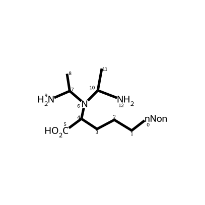 CCCCCCCCCCCCC(C(=O)O)N(C(C)N)C(C)N